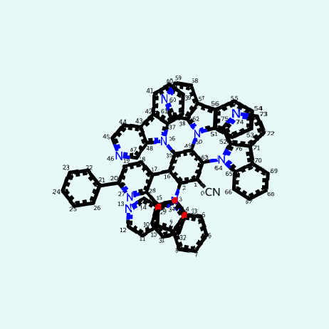 N#Cc1c(-n2c3ccccc3c3ccncc32)c(-c2ccc(-c3ccccc3)nc2-c2ccccc2)c(-n2c3ccccc3c3ccncc32)c(-n2c3ccccc3c3ccncc32)c1-n1c2ccccc2c2ccncc21